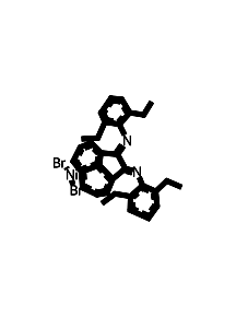 CCc1cccc(CC)c1N=C1C(=Nc2c(CC)cccc2CC)c2cccc3cccc1c23.[Br][Ni][Br]